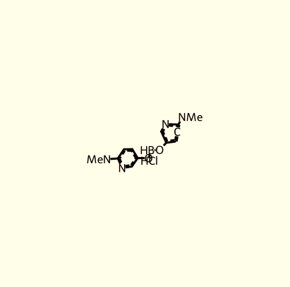 CNc1ccc(OBOc2ccc(NC)nc2)cn1.Cl